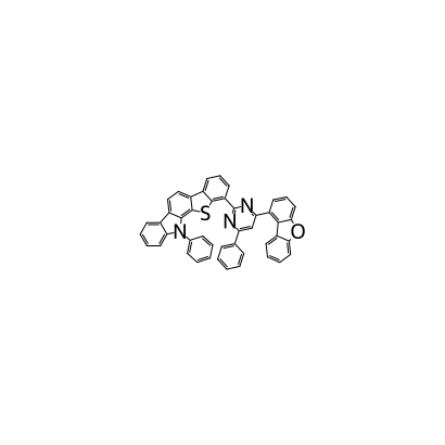 c1ccc(-c2cc(-c3cccc4oc5ccccc5c34)nc(-c3cccc4c3sc3c4ccc4c5ccccc5n(-c5ccccc5)c43)n2)cc1